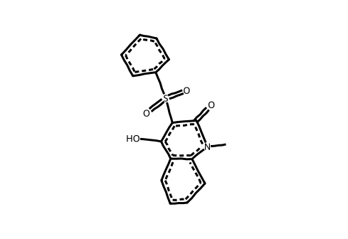 Cn1c(=O)c(S(=O)(=O)c2ccccc2)c(O)c2ccccc21